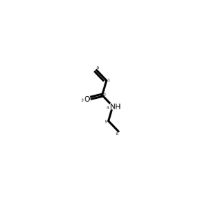 C=CC(=O)NCC